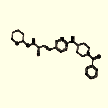 O=C(/C=C/c1ccc(NC2CCN(C(=O)c3ccccc3)CC2)nc1)NOC1CCCCO1